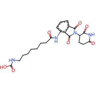 O=C(O)NCCCCCCCC(=O)Nc1cccc2c1C(=O)N(C1CCC(=O)NC1=O)C2=O